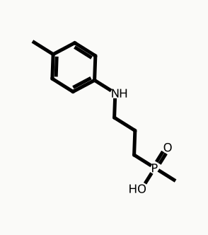 Cc1ccc(NCCCP(C)(=O)O)cc1